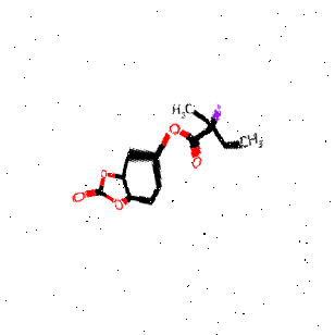 CCC(C)(I)C(=O)OC1CCC2OC(=O)OC2C1